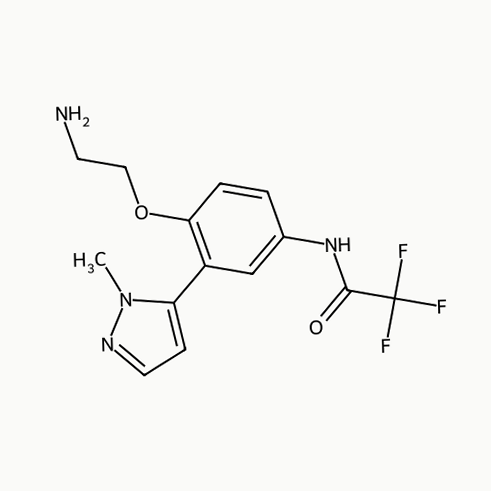 Cn1nccc1-c1cc(NC(=O)C(F)(F)F)ccc1OCCN